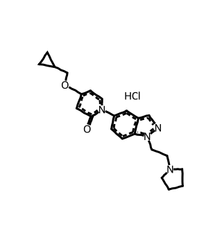 Cl.O=c1cc(OCC2CC2)ccn1-c1ccc2c(cnn2CCN2CCCC2)c1